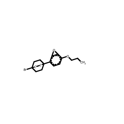 CCCOc1ccc(C23CCC(Br)(CC2)CC3)c2c1O2